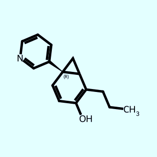 CCCC1=C(O)C=C[C@]2(c3cccnc3)CC12